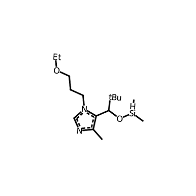 CCOCCCn1cnc(C)c1C(O[SiH](C)C)C(C)(C)C